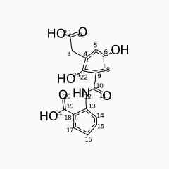 O=C(O)Cc1cc(O)cc(C(=O)Nc2ccccc2C(=O)O)c1O